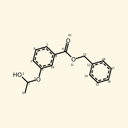 CC(O)Oc1cccc(C(=O)OCc2ccccc2)c1